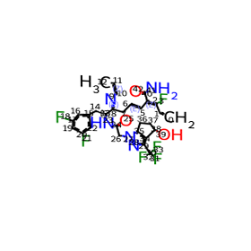 C=C/C(F)=C(\C=C\C/C(=N\C=C/C)[C@H](Cc1cc(F)cc(F)c1)NC(=O)Cn1nc(C(F)(F)F)c2c1CCC2O)C(N)=O